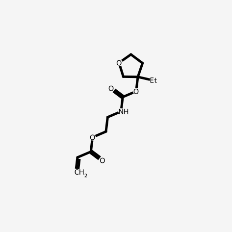 C=CC(=O)OCCNC(=O)OC1(CC)CCOC1